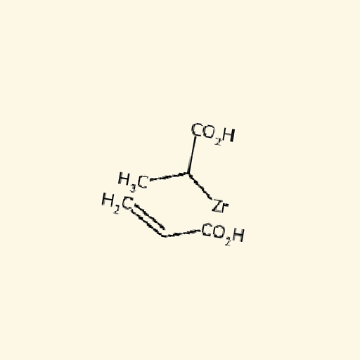 C=CC(=O)O.C[CH]([Zr])C(=O)O